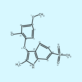 COc1ccc(Oc2c(C)[nH]c3cc(S(C)(=O)=O)ccc23)c(Cl)c1